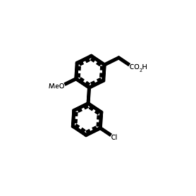 COc1ccc(CC(=O)O)cc1-c1cccc(Cl)c1